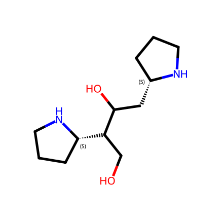 OCC(C(O)C[C@@H]1CCCN1)[C@@H]1CCCN1